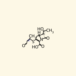 C/C(=C/C=O)SC1=C(C(=O)O)N2C(=O)[C@@H]([C@H](C)O)[C@H]2C1